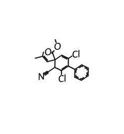 COC(=O)C1(C=C(C)C)C=C(Cl)C(c2ccccc2)=C(Cl)C1C#N